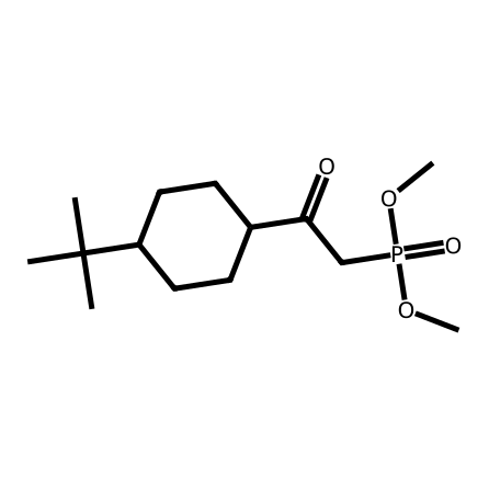 COP(=O)(CC(=O)C1CCC(C(C)(C)C)CC1)OC